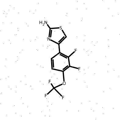 Nc1nc(-c2ccc(OC(F)(F)F)c(F)c2F)cs1